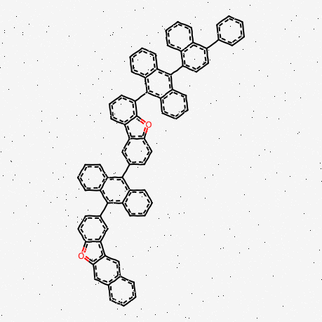 c1ccc(-c2ccc(-c3c4ccccc4c(-c4cccc5c4oc4ccc(-c6c7ccccc7c(-c7ccc8oc9cc%10ccccc%10cc9c8c7)c7ccccc67)cc45)c4ccccc34)c3ccccc23)cc1